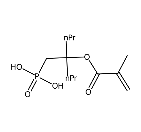 C=C(C)C(=O)OC(CCC)(CCC)CP(=O)(O)O